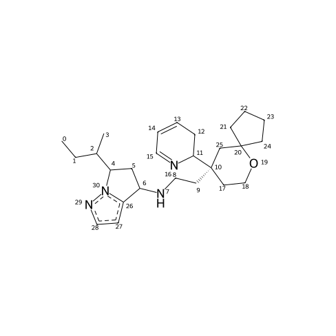 CCC(C)C1CC(NCC[C@@]2(C3CC=CC=N3)CCOC3(CCCC3)C2)c2ccnn21